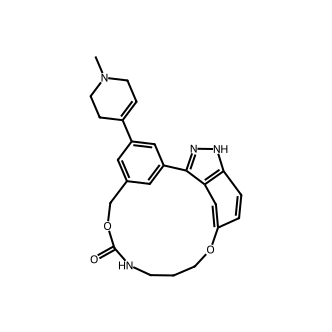 CN1CC=C(c2cc3cc(c2)-c2n[nH]c4ccc(cc24)OCCCNC(=O)OC3)CC1